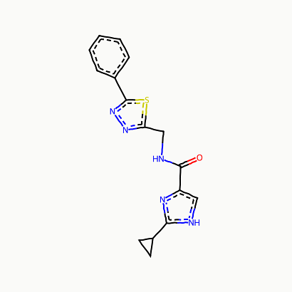 O=C(NCc1nnc(-c2ccccc2)s1)c1c[nH]c(C2CC2)n1